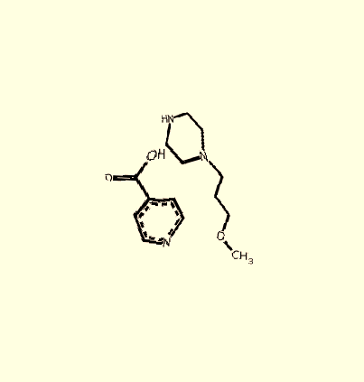 COCCCN1CCNCC1.O=C(O)c1ccncc1